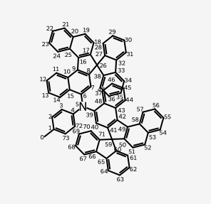 Cc1ccc(N(c2cc3c(c4ccccc24)-c2c(ccc4ccccc24)C32c3ccccc3-c3ccccc32)c2cc3c(c4ccccc24)-c2c(ccc4ccccc24)C32c3ccccc3-c3ccccc32)cc1